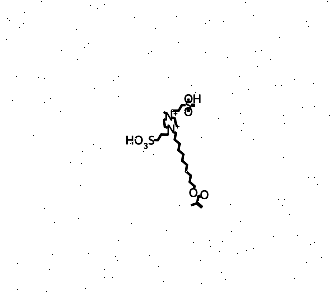 C=C(C)C(=O)OCCCCCCCCCCC[N+]1(CCCS(=O)(=O)O)CC[N+](C)(CCCS(=C)(=O)O)CC1